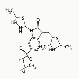 CC1NC(C)C(CC2C(=O)N(C3NNC(C)S3)c3cc(S(=O)(=O)NC4(C)CC4)ccc32)S1